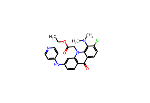 CCOC(=O)Cn1c2cc(Nc3ccncc3)ccc2c(=O)c2ccc(Cl)c(N(C)C)c21